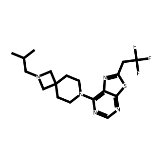 CC(C)CN1CC2(CCN(c3ncnc4sc(CC(F)(F)F)nc34)CC2)C1